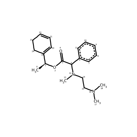 C[C@H](OC(=O)C(c1ccccc1)N(C)CCN(C)C)C1=CC=CCC1